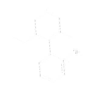 CCC1CCCC(C)=C1c1ccccc1N